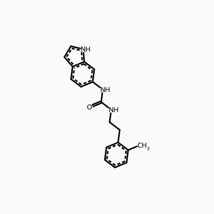 Cc1ccccc1CCNC(=O)Nc1ccc2cc[nH]c2c1